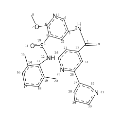 C=C(Nc1cnc(OC)c([S+]([O-])Nc2c(C)cccc2C)c1)c1ccnc(-c2cccnc2)c1